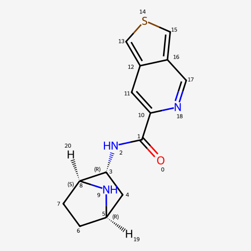 O=C(N[C@@H]1C[C@H]2CC[C@@H]1N2)c1cc2cscc2cn1